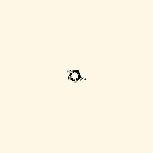 [PoH2].c1c[nH]nn1